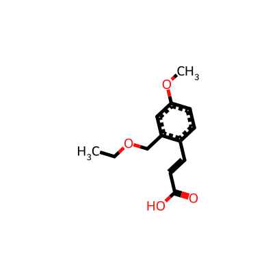 CCOCc1cc(OC)ccc1C=CC(=O)O